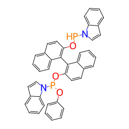 c1ccc(OP(Oc2ccc3ccccc3c2-c2c(OPn3ccc4ccccc43)ccc3ccccc23)n2ccc3ccccc32)cc1